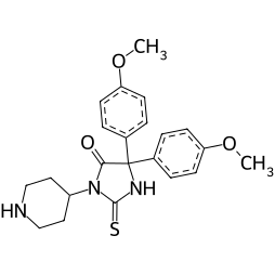 COc1ccc(C2(c3ccc(OC)cc3)NC(=S)N(C3CCNCC3)C2=O)cc1